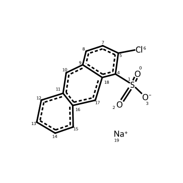 O=S(=O)([O-])c1c(Cl)ccc2cc3ccccc3cc12.[Na+]